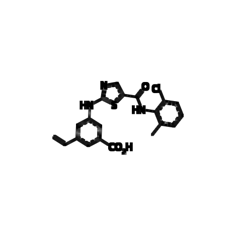 C=Cc1cc(Nc2ncc(C(=O)Nc3c(C)cccc3Cl)s2)cc(C(=O)O)c1